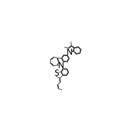 C/C=C\C=C1/CSc2c1cccc2N1c2ccc(-n3c(C)c(C)c4ccccc43)cc2C2=CC1C=CC=C2